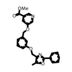 COC(=O)c1cncc(OCc2cccc(OCc3nc(-c4ccccc4)oc3C)c2)c1